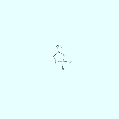 [CH2]C1COC(CC)(CC)O1